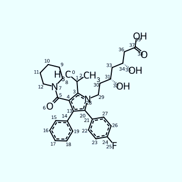 CC(C)c1c(C(=O)N2CCCCC2)c(-c2ccccc2)c(-c2ccc(F)cc2)n1CC[C@@H](O)C[C@@H](O)CC(=O)O